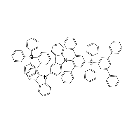 c1ccc(-c2cc(-c3ccccc3)cc([Si](c3ccccc3)(c3ccccc3)c3cc(-c4ccccc4)c(-n4c5ccccc5c5cc(-n6c7ccccc7c7cccc(-c8ccccc8[Si](c8ccccc8)(c8ccccc8)c8ccccc8)c76)ccc54)c(-c4ccccc4)c3)c2)cc1